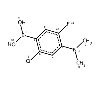 CN(C)c1cc(Cl)c(B(O)O)cc1F